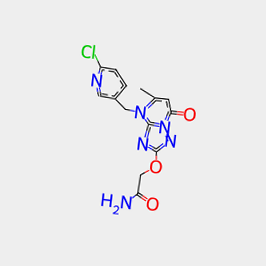 Cc1cc(=O)n2nc(OCC(N)=O)nc2n1Cc1ccc(Cl)nc1